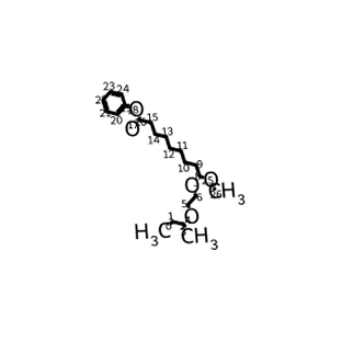 CCC(C)OCCOC(CCCCCCCC(=O)Oc1ccccc1)OC